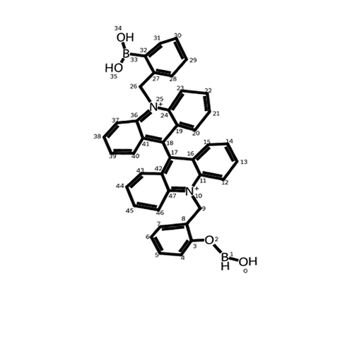 OBOc1ccccc1C[n+]1c2ccccc2c(-c2c3ccccc3[n+](Cc3ccccc3B(O)O)c3ccccc23)c2ccccc21